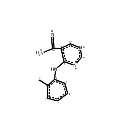 Cc1ccccc1Nc1ncncc1C(N)=O